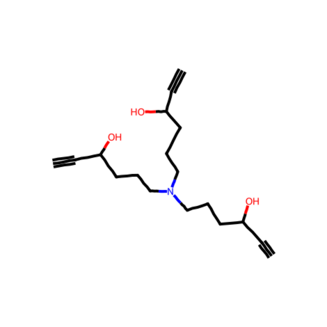 C#CC(O)CCCN(CCCC(O)C#C)CCCC(O)C#C